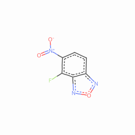 O=[N+]([O-])c1ccc2nonc2c1F